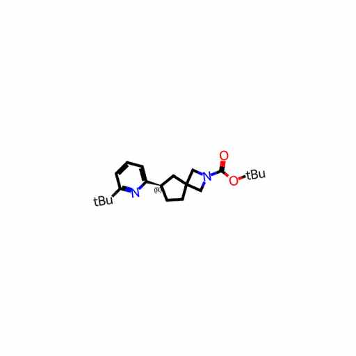 CC(C)(C)OC(=O)N1CC2(CC[C@@H](c3cccc(C(C)(C)C)n3)C2)C1